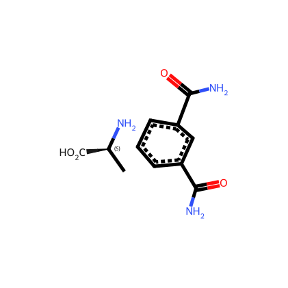 C[C@H](N)C(=O)O.NC(=O)c1cccc(C(N)=O)c1